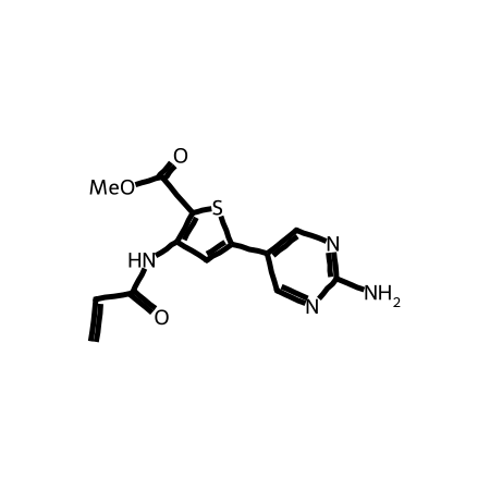 C=CC(=O)Nc1cc(-c2cnc(N)nc2)sc1C(=O)OC